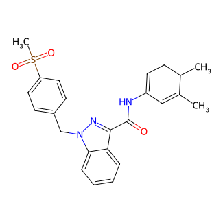 CC1=CC(NC(=O)c2nn(Cc3ccc(S(C)(=O)=O)cc3)c3ccccc23)=CCC1C